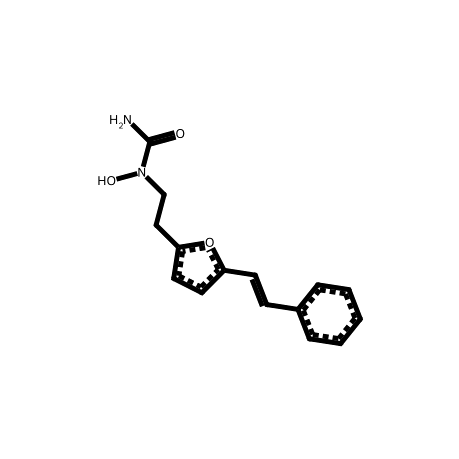 NC(=O)N(O)CCc1ccc(C=Cc2ccccc2)o1